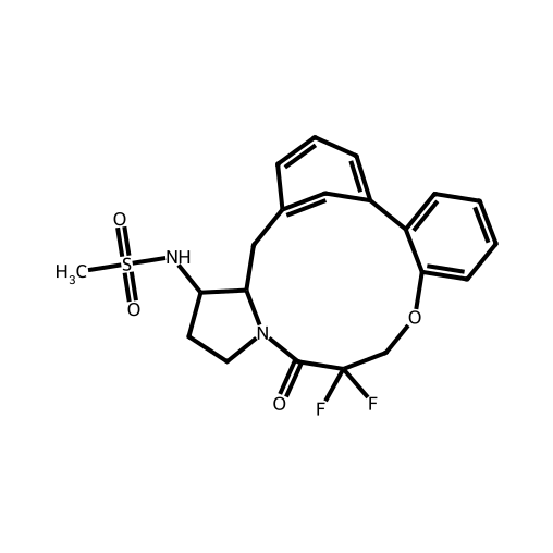 CS(=O)(=O)NC1CCN2C(=O)C(F)(F)COc3ccccc3-c3cccc(c3)CC12